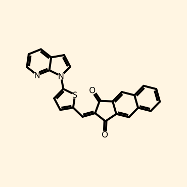 O=C1C(=Cc2ccc(-n3ccc4cccnc43)s2)C(=O)c2cc3ccccc3cc21